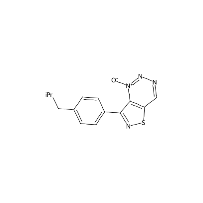 CC(C)Cc1ccc(-c2nsc3cnn[n+]([O-])c23)cc1